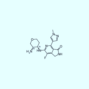 Cn1cc(-c2nc(N[C@@H]3CCOC[C@@H]3N)c(F)c3c2C(=O)NC3)cn1